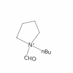 CCCC[N+]1([C]=O)CCCC1